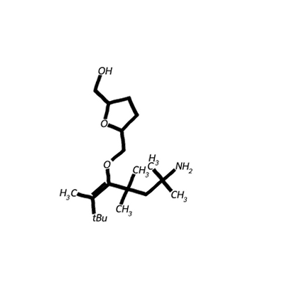 C/C(=C(\OCC1CCC(CO)O1)C(C)(C)CC(C)(C)N)C(C)(C)C